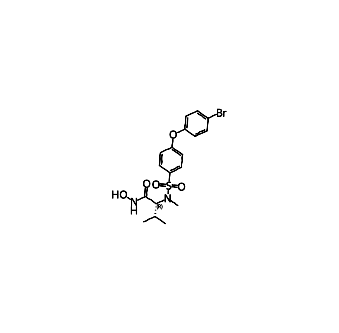 CC(C)[C@H](C(=O)NO)N(C)S(=O)(=O)c1ccc(Oc2ccc(Br)cc2)cc1